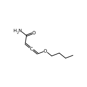 CCCCOC=C=CC(N)=O